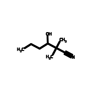 CCCC(O)C(C)(C)C#N